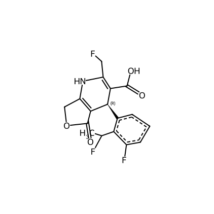 CC(F)c1c(F)cccc1[C@@H]1C(C(=O)O)=C(CF)NC2=C1C(=O)OC2